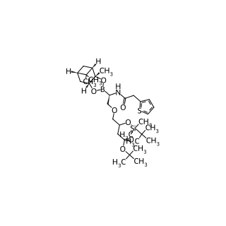 CC(C)(C)OC(=O)CC(COC[C@H](NC(=O)Cc1cccs1)B1O[C@@H]2C[C@@H]3C[C@@H](C3(C)C)[C@]2(C)O1)O[Si](C)(C)C(C)(C)C